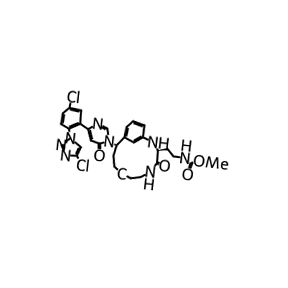 COC(=O)NCC[C@@H]1Nc2cccc(c2)[C@@H](n2cnc(-c3cc(Cl)ccc3-n3cc(Cl)nn3)cc2=O)CCCCCNC1=O